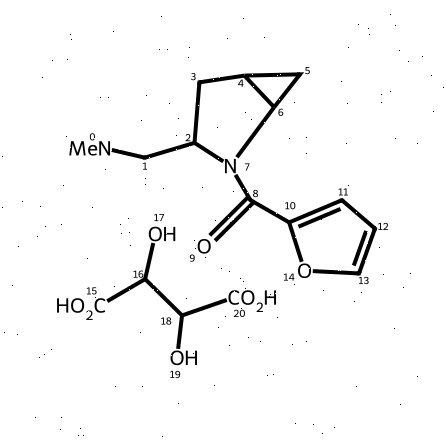 CNCC1CC2CC2N1C(=O)c1ccco1.O=C(O)C(O)C(O)C(=O)O